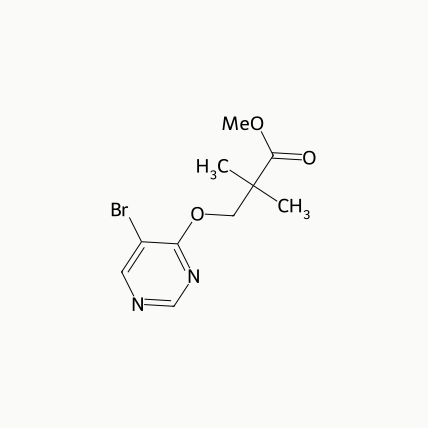 COC(=O)C(C)(C)COc1ncncc1Br